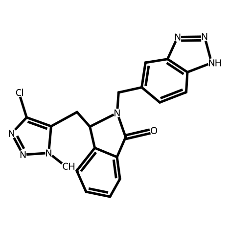 Cn1nnc(Cl)c1CC1c2ccccc2C(=O)N1Cc1ccc2[nH]nnc2c1